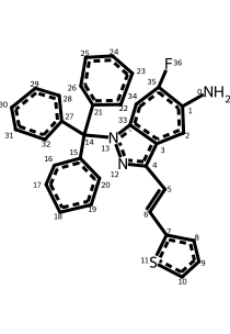 Nc1cc2c(/C=C/c3cccs3)nn(C(c3ccccc3)(c3ccccc3)c3ccccc3)c2cc1F